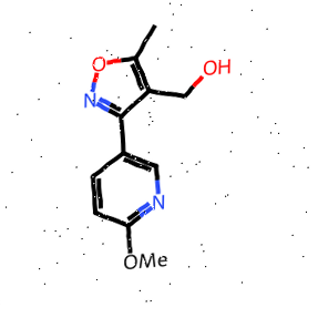 COc1ccc(-c2noc(C)c2CO)cn1